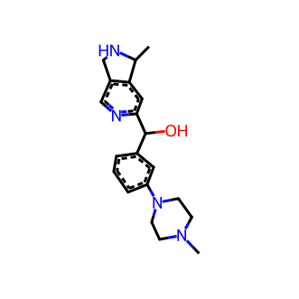 CC1NCc2cnc(C(O)c3cccc(N4CCN(C)CC4)c3)cc21